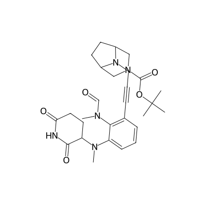 CN(C=O)c1c(C#CCN2C3CCC2CN(C(=O)OC(C)(C)C)C3)cccc1N(C)C1CCC(=O)NC1=O